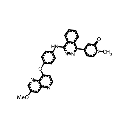 COc1cnc2c(Oc3ccc(Nc4nnc(-c5ccn(C)c(=O)c5)c5ccccc45)cc3)ccnc2c1